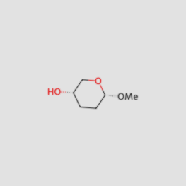 CO[C@@H]1CC[C@H](O)CO1